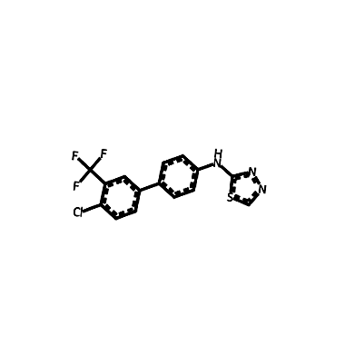 FC(F)(F)c1cc(-c2ccc(Nc3nncs3)cc2)ccc1Cl